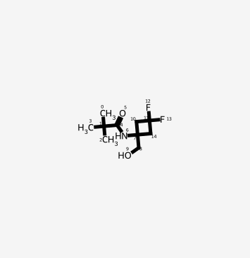 CC(C)(C)C(=O)NC1(CO)CC(F)(F)C1